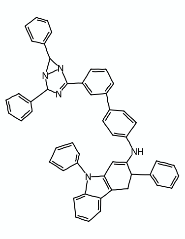 C1=C(Nc2ccc(-c3cccc(C4=NC(c5ccccc5)N5C(c6ccccc6)N45)c3)cc2)C(c2ccccc2)Cc2c1n(-c1ccccc1)c1ccccc21